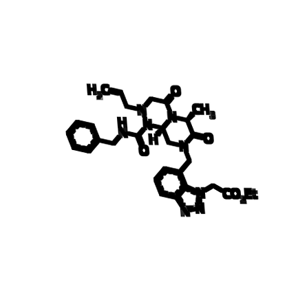 C=CCN1CC(=O)N2[C@@H](C)C(=O)N(Cc3cccc4nnn(CC(=O)OCC)c34)C[C@@H]2N1C(=O)NCc1ccccc1